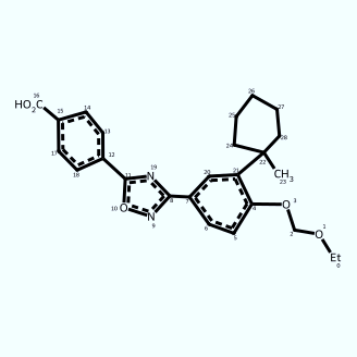 CCOCOc1ccc(-c2noc(-c3ccc(C(=O)O)cc3)n2)cc1C1(C)CCCCC1